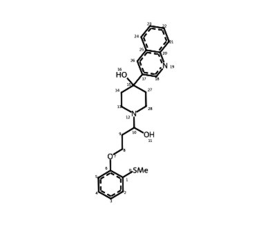 CSc1ccccc1OCCC(O)N1CCC(O)(c2cnc3ccccc3c2)CC1